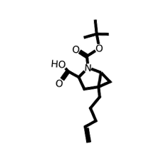 C=CCCCC12CC(C(=O)O)N(C(=O)OC(C)(C)C)C1C2